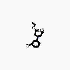 CCOC(=O)C/C(=C\C#N)c1cccc(Cl)c1